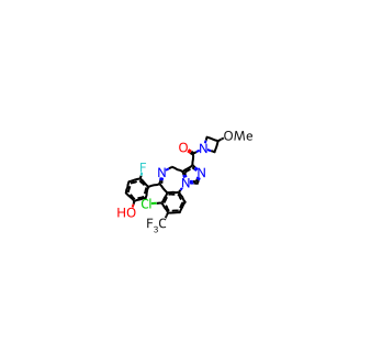 COC1CN(C(=O)c2ncn3c2CN=C(c2cc(O)ccc2F)c2c-3ccc(C(F)(F)F)c2Cl)C1